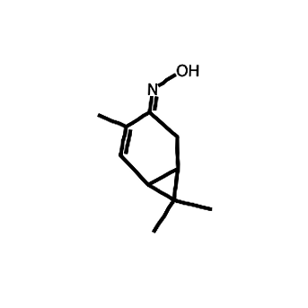 CC1=CC2C(CC1=NO)C2(C)C